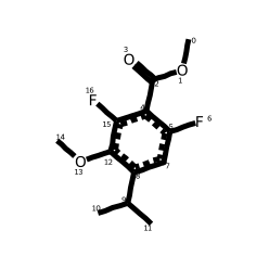 COC(=O)c1c(F)cc(C(C)C)c(OC)c1F